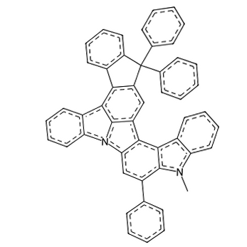 Cn1c2ccccc2c2c3c4cc5c(c6c7ccccc7n(c3cc(-c3ccccc3)c21)c46)-c1ccccc1C5(c1ccccc1)c1ccccc1